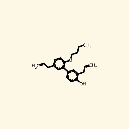 C=CCc1ccc(OCCCC)c(-c2ccc(O)c(CC=C)c2)c1